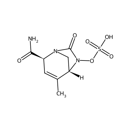 CC1=C[C@@H](C(N)=O)N2C[C@@H]1N(OS(=O)(=O)O)C2=O